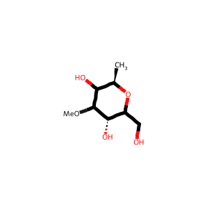 COC1C(O)[C@@H](C)OC(CO)[C@@H]1O